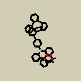 CC1(C)c2ccccc2-c2c(N(c3ccc(-c4ccc5c(c4)-c4c6cccc4-c4ccccc4-c4c(cccc4-5)C6)cc3)c3ccccc3-c3ccccc3)cccc21